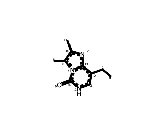 CCc1c[nH]c(=O)n2c(C)c(C)nc12